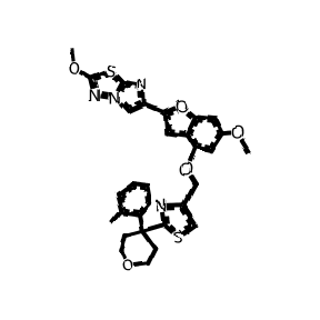 COc1cc(OCc2csc(C3(c4ccccc4C)CCOCC3)n2)c2cc(-c3cn4nc(OC)sc4n3)oc2c1